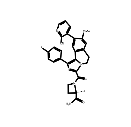 COc1cc2c(cc1-c1cccnc1C#N)-c1c(-c3ccc(F)cc3)nc(C(=O)N3CC[C@]3(C)C(N)=O)n1CC2